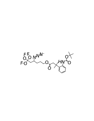 CC(C)(C)OC(=O)Nc1ccccc1C(C)(C)CC(=O)OCCCC(CC(OF)(OF)OF)N=[N+]=[N-]